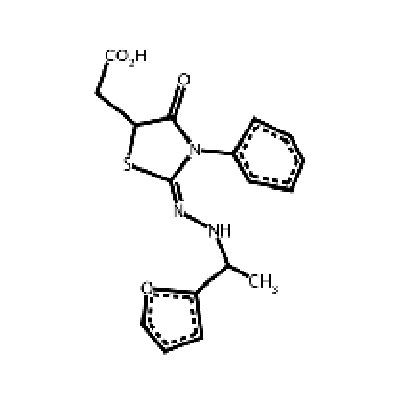 CC(N/N=C1/SC(CC(=O)O)C(=O)N1c1ccccc1)c1ccco1